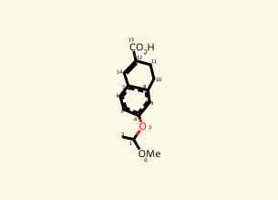 COC(C)Oc1ccc2c(c1)CCC(C(=O)O)=C2